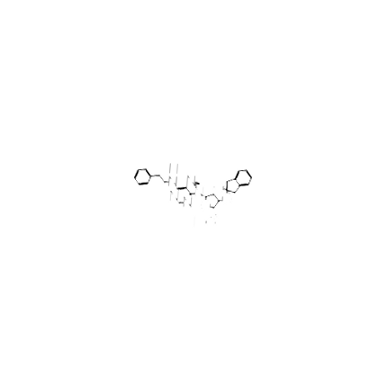 OC[C@H]1O[C@@H](n2cnc3c(NCCc4ccccc4)ncnc32)C2OC3(Cc4ccccc4C3)OC21